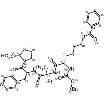 CC[C@](C)(NC(=O)[C@H](CCCCOC(=O)c1ccccc1)NC(=O)OC(C)(C)C)C(=O)N[C@@H](Cc1ccncc1)C(=O)N1CCC[C@@H]1C(=O)O